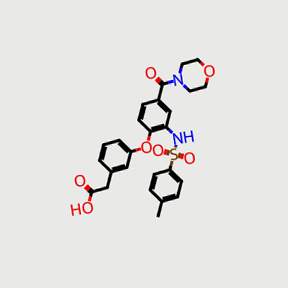 Cc1ccc(S(=O)(=O)Nc2cc(C(=O)N3CCOCC3)ccc2Oc2cccc(CC(=O)O)c2)cc1